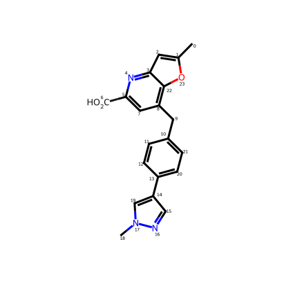 Cc1cc2nc(C(=O)O)cc(Cc3ccc(-c4cnn(C)c4)cc3)c2o1